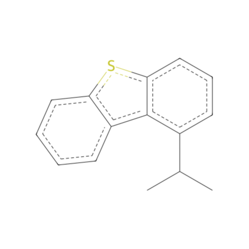 CC(C)c1cccc2sc3ccccc3c12